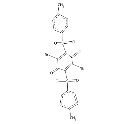 Cc1ccc(S(=O)(=O)C2=C(Br)C(=O)C(S(=O)(=O)c3ccc(C)cc3)=C(Br)C2=O)cc1